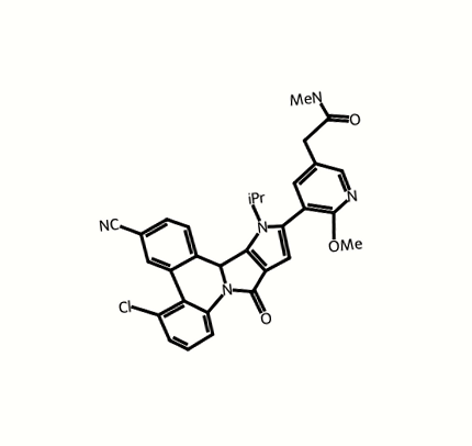 CNC(=O)Cc1cnc(OC)c(-c2cc3c(n2C(C)C)C2c4ccc(C#N)cc4-c4c(Cl)cccc4N2C3=O)c1